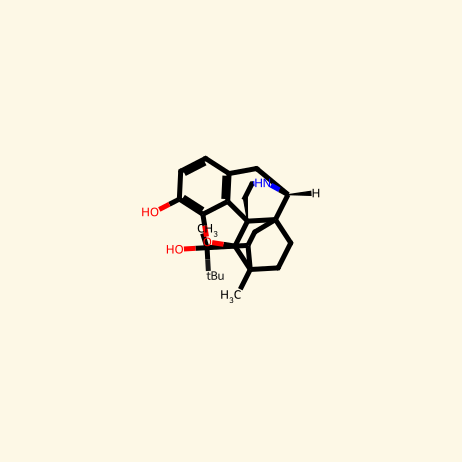 CC12CCC3(CC1C(C)(O)C(C)(C)C)[C@H]1Cc4ccc(O)c5c4[C@@]3(CCN1)C2O5